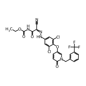 CCOC(=O)NC(=O)C(C#N)=NNc1cc(Cl)c(Oc2ccc(=O)n(Cc3cccc(C(F)(F)F)c3)c2)c(Cl)c1